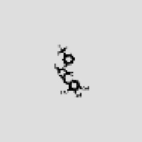 O=C1/C(=C\c2ccc(O)c(O)c2O)SC(=S)N1c1cccc(C(F)(F)F)c1